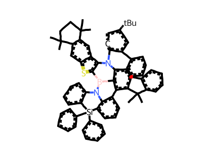 CC(C)(C)c1ccc(N2c3cc4c(c5c3B(c3sc6cc7c(cc6c32)C(C)(C)CCC7(C)C)N2c3ccccc3[Si](c3ccccc3)(c3ccccc3)c3cccc-5c32)C(C)(C)c2ccccc2-4)c(-c2ccccc2)c1